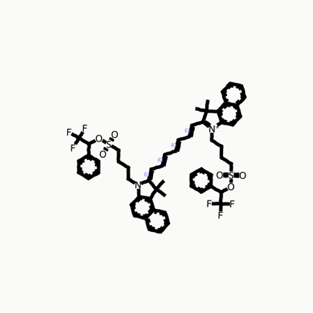 CC1(C)C(/C=C/C=C/C=C/C=C2/N(CCCCS(=O)(=O)OC(c3ccccc3)C(F)(F)F)c3ccc4ccccc4c3C2(C)C)=[N+](CCCCS(=O)(=O)OC(c2ccccc2)C(F)(F)F)c2ccc3ccccc3c21